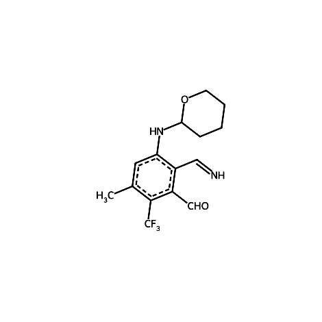 Cc1cc(NC2CCCCO2)c(C=N)c(C=O)c1C(F)(F)F